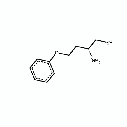 N[C@@H](CS)CCOc1ccccc1